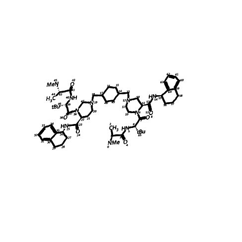 CN[C@@H](C)C(=O)N[C@H](C(=O)N1CCN(CC2CCC(CN3CC[C@@H](C(=O)N[C@@H]4CCCc5ccccc54)N(C(=O)[C@@H](NC(=O)[C@H](C)NC)C(C)(C)C)C3)CC2)C[C@H]1C(=O)N[C@@H]1CCCc2ccccc21)C(C)(C)C